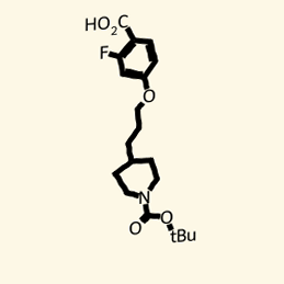 CC(C)(C)OC(=O)N1CCC(CCCOc2ccc(C(=O)O)c(F)c2)CC1